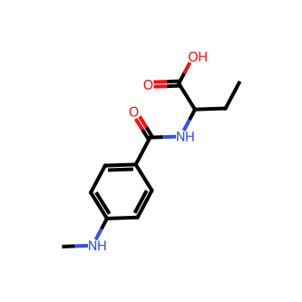 CCC(NC(=O)c1ccc(NC)cc1)C(=O)O